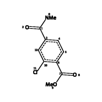 CNC(=O)c1ccc(C(=O)OC)c(Cl)c1